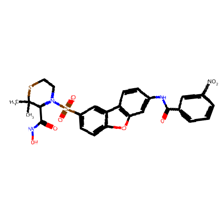 CC1(C)SCCN(S(=O)(=O)c2ccc3oc4cc(NC(=O)c5cccc([N+](=O)[O-])c5)ccc4c3c2)C1C(=O)NO